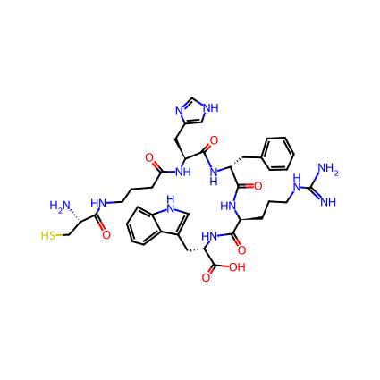 N=C(N)NCCC[C@H](NC(=O)[C@@H](Cc1ccccc1)NC(=O)[C@H](Cc1c[nH]cn1)NC(=O)CCCNC(=O)[C@@H](N)CS)C(=O)N[C@@H](Cc1c[nH]c2ccccc12)C(=O)O